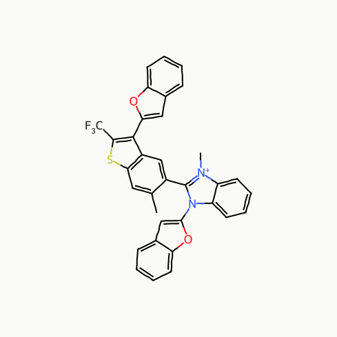 Cc1cc2sc(C(F)(F)F)c(-c3cc4ccccc4o3)c2cc1-c1n(-c2cc3ccccc3o2)c2ccccc2[n+]1C